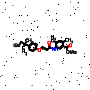 COC(=O)c1cc(NC(=O)C=COc2ccc(C(C)(C)CC(C)(C)C)cc2)c(C)cc1C